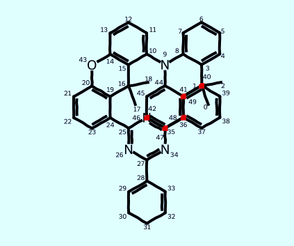 CC1(C)c2ccccc2N(c2cccc3c2C(C)(C)c2c(cccc2-c2nc(C4=CCCC=C4)nc(-c4ccccc4)n2)O3)c2ccccc21